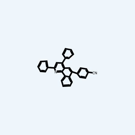 N#Cc1ccc(-c2cc3c(-c4ccccc4)cc(-c4ccccc4)nc3c3ccccc23)cc1